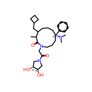 CC1C(=O)N(CC(=O)N2C[C@@H](O)[C@@H](O)C2)CCC[C@](c2ccccc2)(N(C)C)CCCC1CC1CCC1